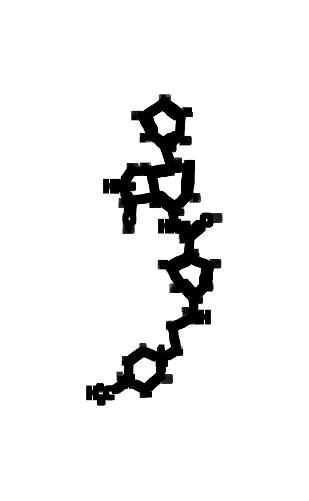 CN1CCN(CCNc2ccc(C(=O)Nc3ccc(-c4ccccc4)c4c3C(=O)NC4)cc2)CC1